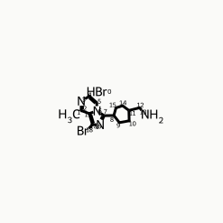 Br.Cc1nccn2c(C3CCC(CN)CC3)nc(Br)c12